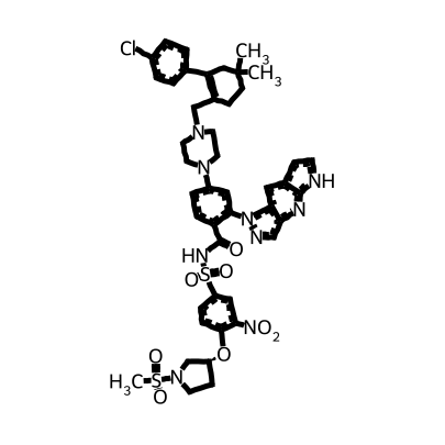 CC1(C)CCC(CN2CCN(c3ccc(C(=O)NS(=O)(=O)c4ccc(O[C@@H]5CCN(S(C)(=O)=O)C5)c([N+](=O)[O-])c4)c(-n4ncc5nc6[nH]ccc6cc54)c3)CC2)=C(c2ccc(Cl)cc2)C1